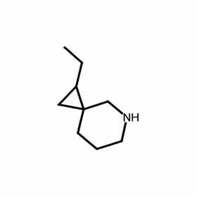 CCC1CC12CCCNC2